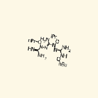 CCCCONC(N)=NN(OC(C)C)C(N)=NN(OCCC)C(=N)N